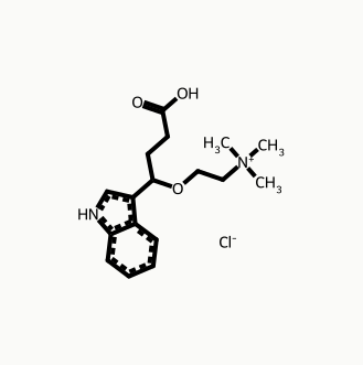 C[N+](C)(C)CCOC(CCC(=O)O)c1c[nH]c2ccccc12.[Cl-]